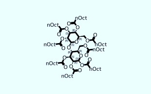 CCCCCCCCC(=O)OC[C@H]1O[C@@H](O[C@H]2[C@H](OC(=O)CCCCCCCC)[C@@H](OC(=O)CCCCCCCC)[C@H](OC(=O)CCCCCCCC)O[C@@H]2COC(=O)CCCCCCCC)[C@H](OC(=O)CCCCCCCC)[C@@H](OC(=O)CCCCCCCC)[C@@H]1OC(=O)CCCCCCCC